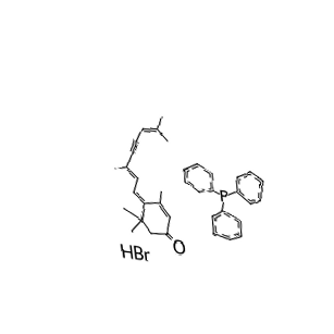 Br.CC(C)=CC#C/C(C)=C/C=C1\C(C)=CC(=O)CC1(C)C.c1ccc(P(c2ccccc2)c2ccccc2)cc1